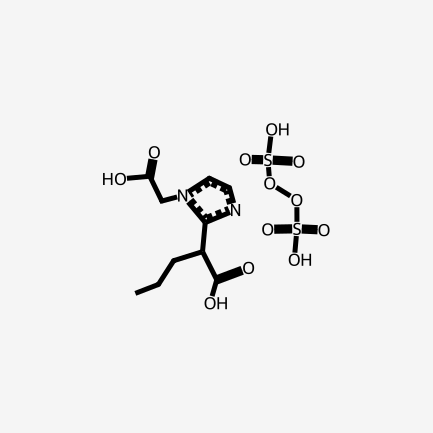 CCCC(C(=O)O)c1nccn1CC(=O)O.O=S(=O)(O)OOS(=O)(=O)O